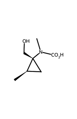 C[C@@H]1C[C@@]1(CO)N(C)C(=O)O